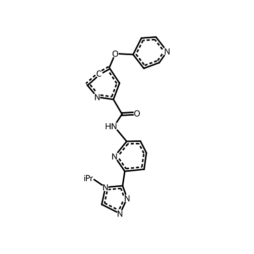 CC(C)n1cnnc1-c1cccc(NC(=O)c2cc(Oc3ccncc3)ccn2)n1